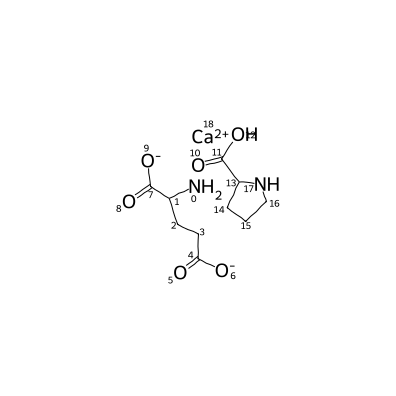 NC(CCC(=O)[O-])C(=O)[O-].O=C(O)C1CCCN1.[Ca+2]